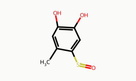 Cc1cc(O)c(O)cc1[S+]=O